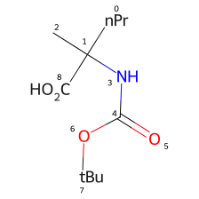 CCCC(C)(NC(=O)OC(C)(C)C)C(=O)O